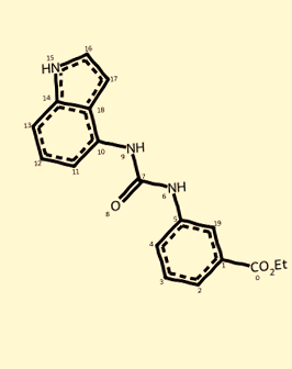 CCOC(=O)c1cccc(NC(=O)Nc2cccc3[nH]ccc23)c1